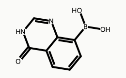 O=c1[nH]cnc2c(B(O)O)cccc12